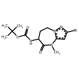 CN1C(=O)C(NC(=O)OC(C)(C)C)CCn2nc(Br)cc21